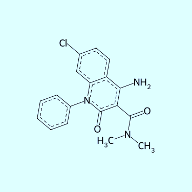 CN(C)C(=O)c1c(N)c2ccc(Cl)cc2n(-c2ccccc2)c1=O